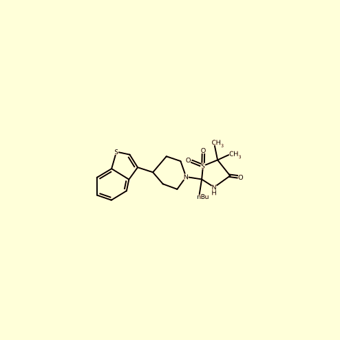 CCCCC1(N2CCC(c3csc4ccccc34)CC2)NC(=O)C(C)(C)S1(=O)=O